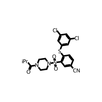 CC(C)C(=O)N1CCN(S(=O)(=O)c2cc(C#N)ccc2Sc2cc(Cl)cc(Cl)c2)CC1